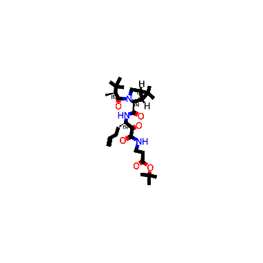 C=CCC[C@H](NC(=O)[C@@H]1[C@@H]2[C@H](CN1C(=O)[C@@H](C)C(C)(C)C)C2(C)C)C(=O)C(=O)NCCC(=O)OC(C)(C)C